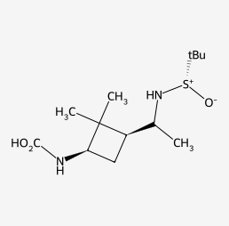 CC(N[S@@+]([O-])C(C)(C)C)[C@H]1C[C@@H](NC(=O)O)C1(C)C